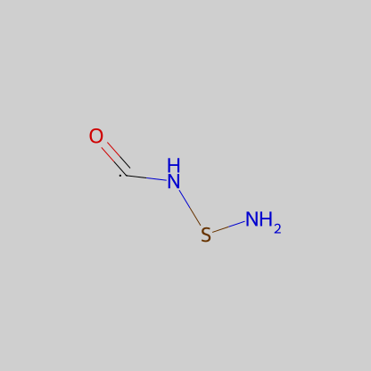 NSN[C]=O